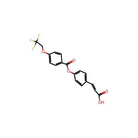 O=C(O)C=Cc1ccc(OC(=O)c2ccc(OCC(F)(F)F)cc2)cc1